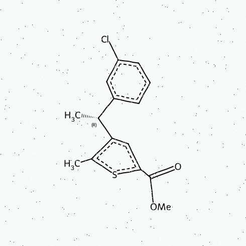 COC(=O)c1cc([C@H](C)c2cccc(Cl)c2)c(C)s1